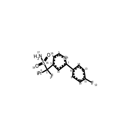 CC(C)C(F)(c1ccnc(-c2ccc(F)cc2)c1)S(N)(=O)=O